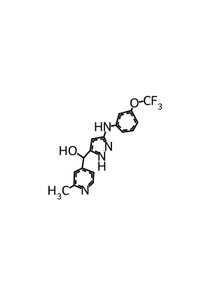 Cc1cc(C(O)c2cc(Nc3cccc(OC(F)(F)F)c3)n[nH]2)ccn1